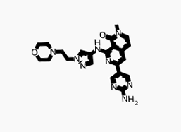 Cn1ccc2cc(-c3cnc(N)nc3)nc(Nc3cnn(CCN4CCOCC4)c3)c2c1=O